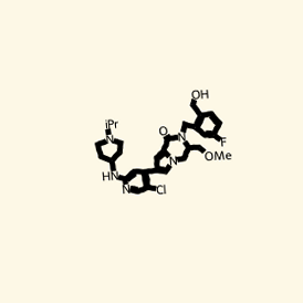 COCC1Cn2cc(-c3cc(NC4CCN(C(C)C)CC4)ncc3Cl)cc2C(=O)N1Cc1cc(F)ccc1CO